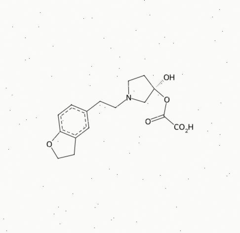 O=C(O)C(=O)O[C@]1(O)CCN(CCc2ccc3c(c2)CCO3)C1